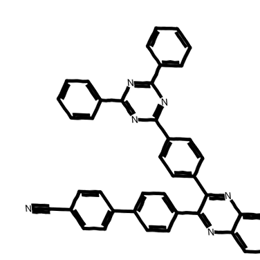 N#Cc1ccc(-c2ccc(-c3nc4ccccc4nc3-c3ccc(-c4nc(-c5ccccc5)nc(-c5ccccc5)n4)cc3)cc2)cc1